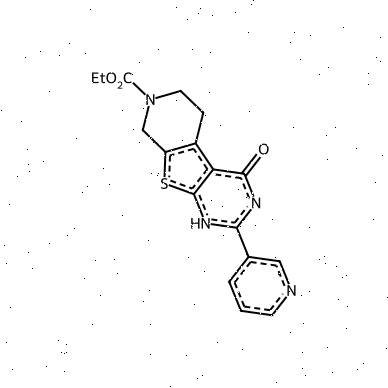 CCOC(=O)N1CCc2c(sc3[nH]c(-c4cccnc4)nc(=O)c23)C1